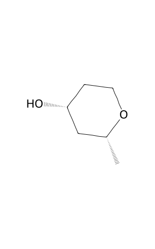 C[C@@H]1C[C@H](O)CCO1